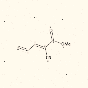 C=C/C=C(\C#N)C(=O)OC